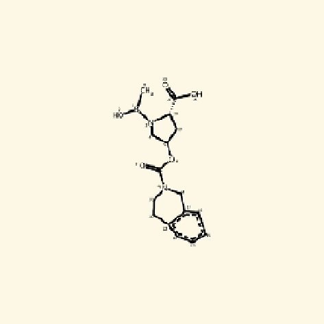 CB(O)N1C[C@H](OC(=O)N2CCc3ccccc3C2)C[C@H]1C(=O)O